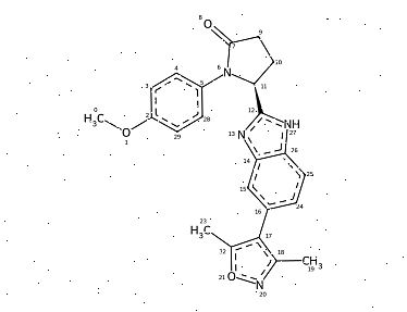 COc1ccc(N2C(=O)CC[C@H]2c2nc3cc(-c4c(C)noc4C)ccc3[nH]2)cc1